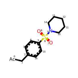 CC(=O)Cc1ccc(S(=O)(=O)N2CCCCC2)cc1